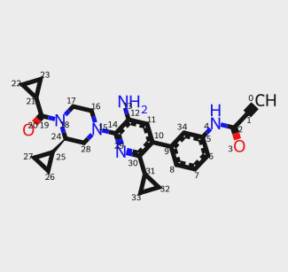 C#CC(=O)Nc1cccc(-c2cc(N)c(N3CCN(C(=O)C4CC4)[C@H](C4CC4)C3)nc2C2CC2)c1